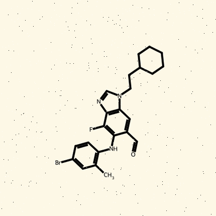 Cc1cc(Br)ccc1Nc1c(C=O)cc2c(ncn2CCC2CCCCC2)c1F